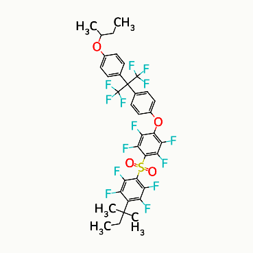 CCC(C)Oc1ccc(C(c2ccc(Oc3c(F)c(F)c(S(=O)(=O)c4c(F)c(F)c(C(C)(C)CC)c(F)c4F)c(F)c3F)cc2)(C(F)(F)F)C(F)(F)F)cc1